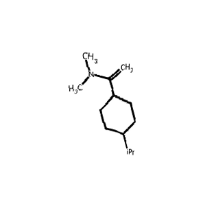 C=C(C1CCC(C(C)C)CC1)N(C)C